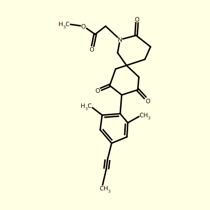 CC#Cc1cc(C)c(C2C(=O)CC3(CCC(=O)N(CC(=O)OC)C3)CC2=O)c(C)c1